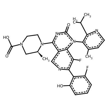 Cc1ccnc(C(C)C)c1-n1c(=O)nc(N2CCN(C(=O)O)C[C@@H]2C)c2cnc(-c3c(O)cccc3F)c(F)c21